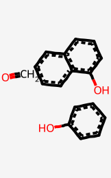 C=O.Oc1cccc2ccccc12.Oc1ccccc1